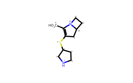 O=C(O)C1=C(SC2CCNC2)CC2CCN12